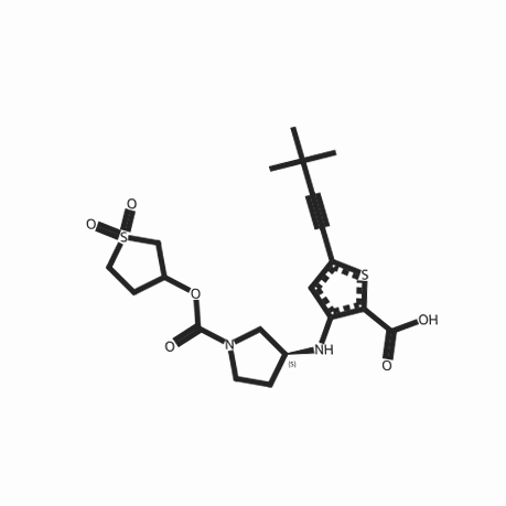 CC(C)(C)C#Cc1cc(N[C@H]2CCN(C(=O)OC3CCS(=O)(=O)C3)C2)c(C(=O)O)s1